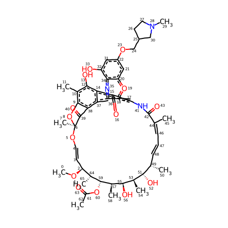 CO[C@H]1/C=C/O[C@@]2(C)Oc3c(C)c(O)c4c(=O)c(c5oc6cc(OCC7CCN(C)C7)cc(O)c6nc-5c4c3C2=O)NC(=O)/C(C)=C\C=C\[C@H](C)[C@H](O)[C@@H](C)[C@@H](O)[C@@H](C)[C@H](OC(C)=O)[C@@H]1C